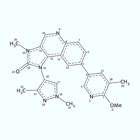 COc1ncc(-c2ccc3ncc4c(c3c2)n(-c2cn(C)nc2C)c(=O)n4C)cc1C